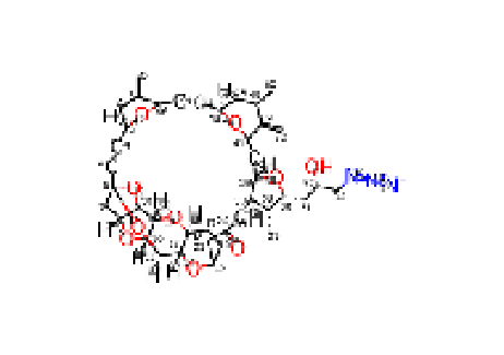 C=C1C[C@@H]2CCC34C[C@H]5O[C@H]6[C@@H](O3)[C@H]3OC(CC[C@@H]3O[C@H]6C5O4)CC(=O)C[C@@H]3[C@@H](C)[C@@H](C[C@H](O)CN=[N+]=[N-])O[C@H]3CC3O[C@@H](CCC1O2)C[C@@H](C)C3=C